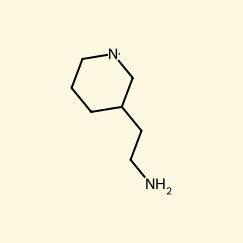 NCCC1CCC[N]C1